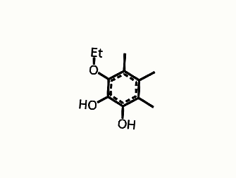 CCOc1c(C)c(C)c(C)c(O)c1O